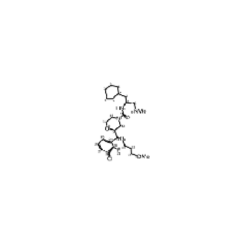 CNCC(CC1CCCCC1)NC(=O)N1CCOC(C(OCCCOC)c2cccc(Cl)c2F)C1